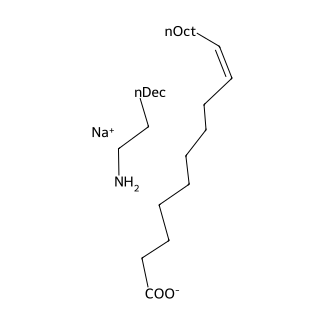 CCCCCCCC/C=C\CCCCCCCC(=O)[O-].CCCCCCCCCCCCN.[Na+]